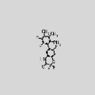 Cc1c(C)c(P)c(-c2cc3c(cc2F)OC(F)(F)C(=O)N3)c(F)c1F